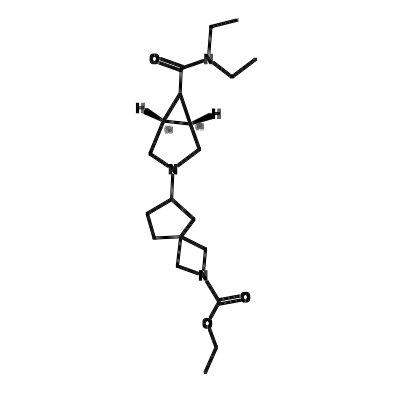 CCOC(=O)N1CC2(CCC(N3C[C@@H]4C(C(=O)N(CC)CC)[C@@H]4C3)C2)C1